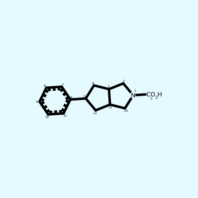 O=C(O)N1CC2CC(c3ccccc3)CC2C1